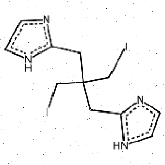 ICC(CI)(Cc1ncc[nH]1)Cc1ncc[nH]1